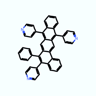 c1ccc(-c2c(-c3ccncc3)c3ccccc3c3cc4c(-c5ccncc5)c5ccccc5c(-c5ccncc5)c4cc23)cc1